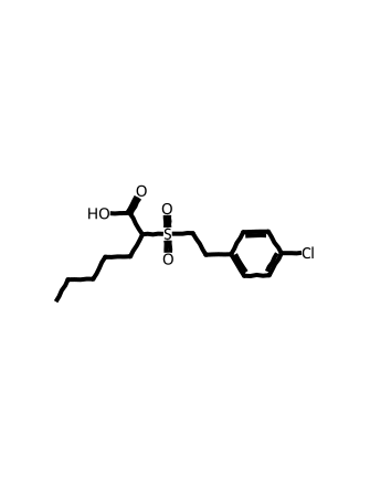 CCCCCC(C(=O)O)S(=O)(=O)CCc1ccc(Cl)cc1